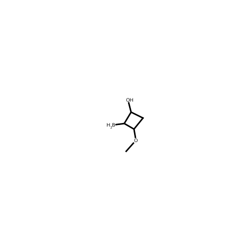 BC1C(O)CC1OC